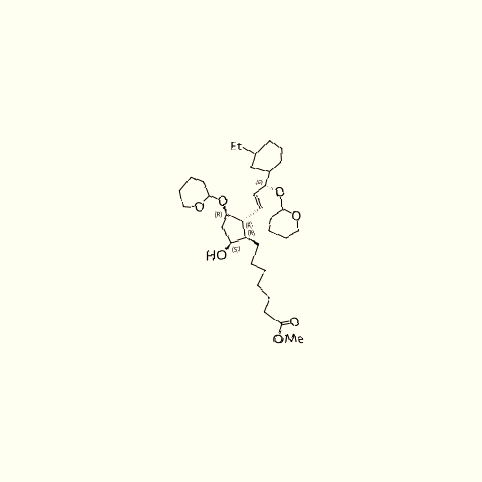 CCC1CCCC([C@@H](C=C[C@@H]2[C@@H](CCCCCCC(=O)OC)[C@@H](O)C[C@H]2OC2CCCCO2)OC2CCCCO2)C1